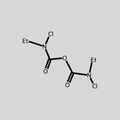 CCN(Cl)C(=O)OC(=O)N(Cl)CC